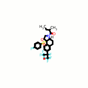 CCC(C)C(=O)N1CC[C@@]2(S(=O)(=O)c3ccc(F)cc3)c3ccc(C(F)(C(F)(F)F)C(F)(F)F)cc3CC[C@@H]12